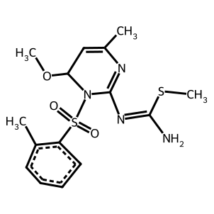 COC1C=C(C)N=C(N=C(N)SC)N1S(=O)(=O)c1ccccc1C